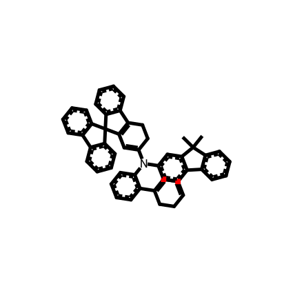 CC1(C)c2ccccc2-c2ccc(N(C3=CC4=C(CC3)c3ccccc3C43c4ccccc4-c4ccccc43)c3ccccc3C3=CC=CCC3)cc21